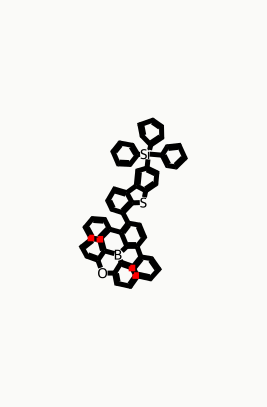 c1ccc(-c2ccc(-c3cccc4c3sc3ccc([Si](c5ccccc5)(c5ccccc5)c5ccccc5)cc34)c(-c3ccccc3)c2B2c3ccccc3Oc3ccccc32)cc1